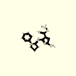 COC(=O)c1cc(C)sc1/N=C1\CCCN1c1ccccc1